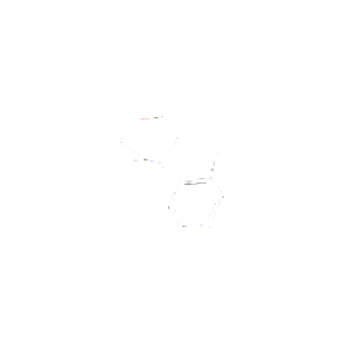 C[C@@H]1COCCN1c1ccncc1N